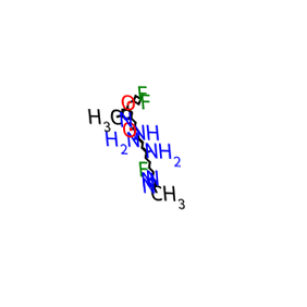 Cc1cn(CC(F)CC/C(N)=C/C=C(\N)NC(=O)Cc2cc(OC3CC(F)(F)C3)cc(C)n2)nn1